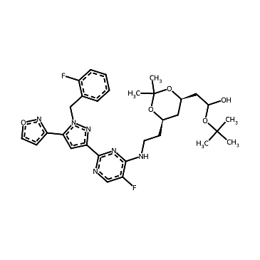 CC(C)(C)OC(O)C[C@H]1C[C@@H](CCNc2nc(-c3cc(-c4ccon4)n(Cc4ccccc4F)n3)ncc2F)OC(C)(C)O1